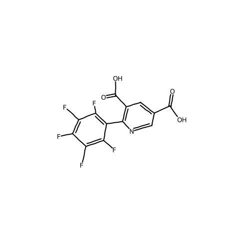 O=C(O)c1cnc(-c2c(F)c(F)c(F)c(F)c2F)c(C(=O)O)c1